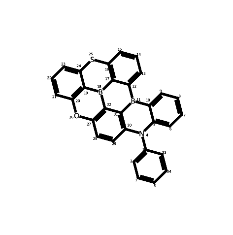 c1ccc(N2c3ccccc3B3c4cccc5c4B4c6c(cccc6S5)Oc5ccc2c3c54)cc1